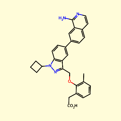 Cc1cccc(CC(=O)O)c1OCc1nn(C2CCC2)c2ccc(-c3ccc4ccnc(N)c4c3)cc12